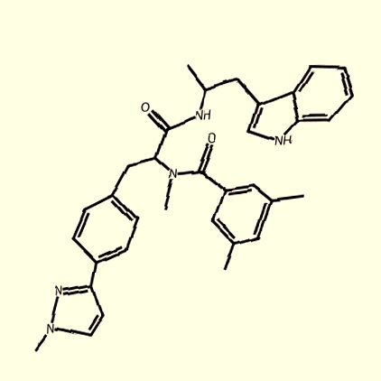 Cc1cc(C)cc(C(=O)N(C)C(Cc2ccc(-c3ccn(C)n3)cc2)C(=O)NC(C)Cc2c[nH]c3ccccc23)c1